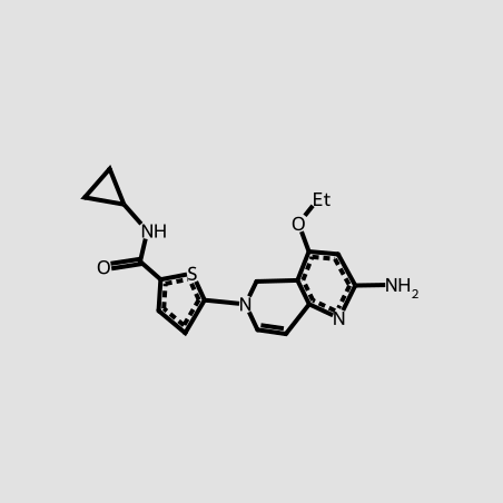 CCOc1cc(N)nc2c1CN(c1ccc(C(=O)NC3CC3)s1)C=C2